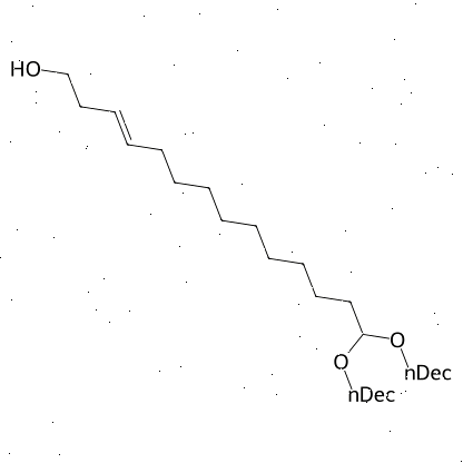 CCCCCCCCCCOC(CCCCCCCCC/C=C/CCO)OCCCCCCCCCC